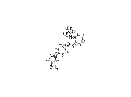 CCS(=O)(=O)N[C@@H]1CCOC[C@H]1COc1ccc(-n2cc(C)cn2)cc1